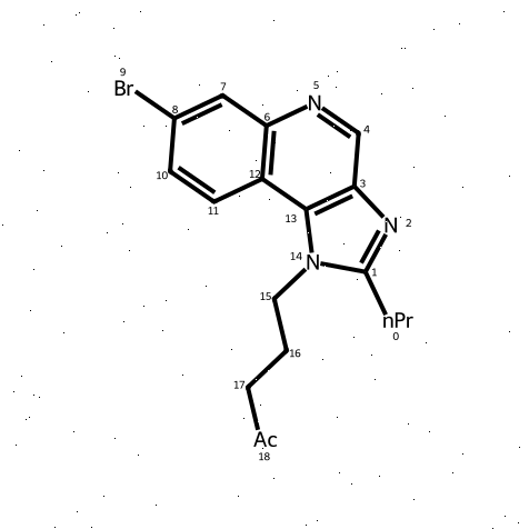 CCCc1nc2cnc3cc(Br)ccc3c2n1CCCC(C)=O